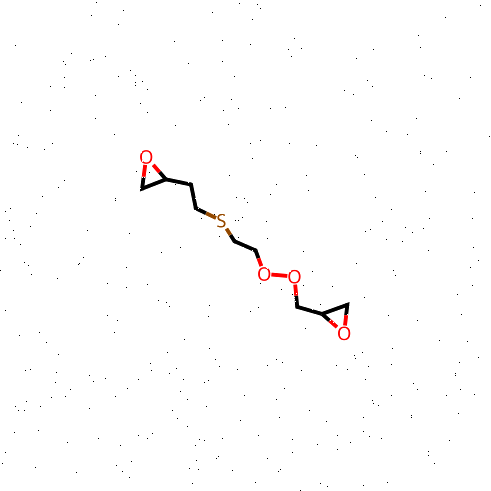 C(CSCCC1CO1)OOCC1CO1